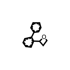 c1ccc(-c2ccccc2C2CCO2)cc1